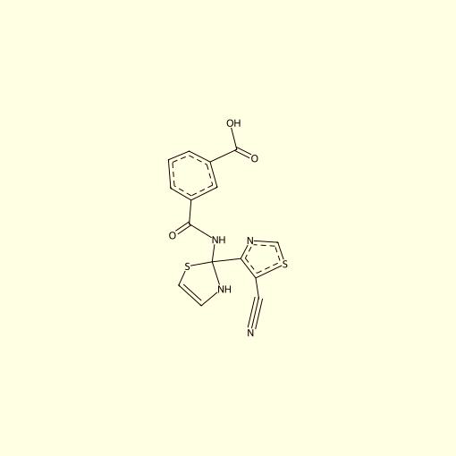 N#Cc1scnc1C1(NC(=O)c2cccc(C(=O)O)c2)NC=CS1